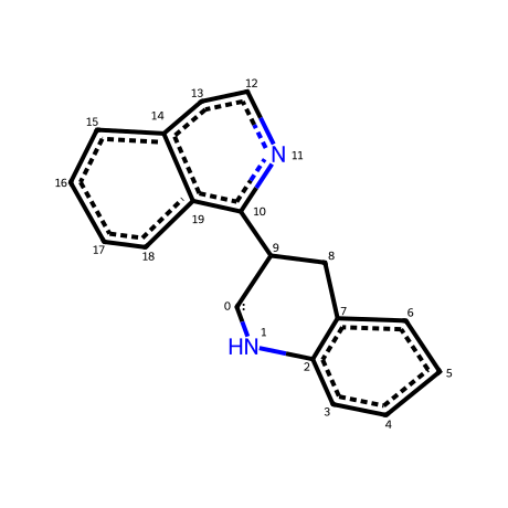 [C]1Nc2ccccc2CC1c1nccc2ccccc12